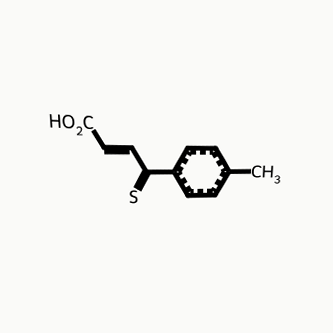 Cc1ccc(C(=S)C=CC(=O)O)cc1